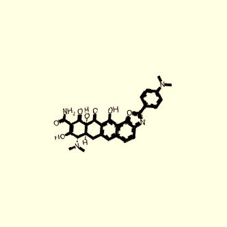 CN(C)c1ccc(-c2nc3ccc4cc5c(c(O)c4c3o2)C(=O)[C@]2(O)C(=O)C(C(N)=O)=C(O)[C@@H](N(C)C)[C@@H]2C5)cc1